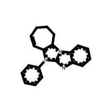 C1=Cc2c(n3c4ccccc4nc3n2-c2ccccc2)CCC1